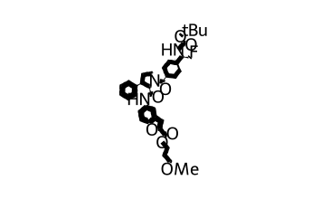 COCCCOC(=O)c1cc2cc(NC(=O)[C@@H]3[C@H](c4ccccc4)CCN3C(=O)[C@H]3CC[C@H]([C@@H](CF)NC(=O)OC(C)(C)C)CC3)ccc2o1